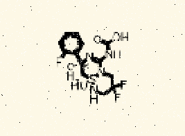 C[C@@]1(c2ccccc2F)CS2(O)NCC(F)(F)CN2C(NC(=O)O)=N1